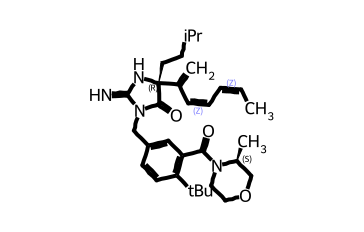 C=C(/C=C\C=C/C)[C@@]1(CCC(C)C)NC(=N)N(Cc2ccc(C(C)(C)C)c(C(=O)N3CCOC[C@@H]3C)c2)C1=O